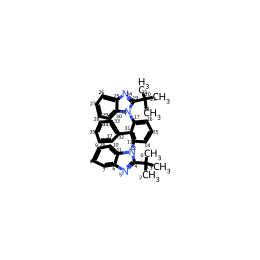 CC(C)(C)c1nc2ccccc2n1-c1cccc(-n2c(C(C)(C)C)nc3ccccc32)c1-c1ccccc1